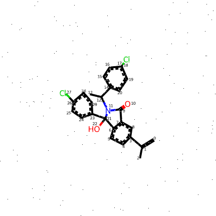 C=C(C)c1ccc2c(c1)C(=O)N(C(C)c1ccc(Cl)cc1)C2(O)c1ccc(Cl)cc1